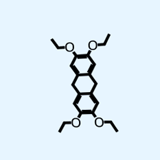 CCOc1cc2c(cc1OCC)Cc1cc(OCC)c(OCC)cc1C2